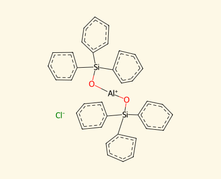 [Cl-].c1ccc([Si]([O][Al+][O][Si](c2ccccc2)(c2ccccc2)c2ccccc2)(c2ccccc2)c2ccccc2)cc1